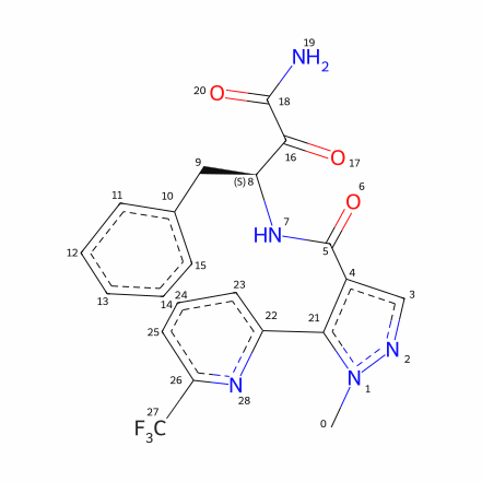 Cn1ncc(C(=O)N[C@@H](Cc2ccccc2)C(=O)C(N)=O)c1-c1cccc(C(F)(F)F)n1